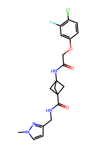 Cn1ccc(CNC(=O)C23CC(NC(=O)COc4ccc(Cl)c(F)c4)(C2)C3)n1